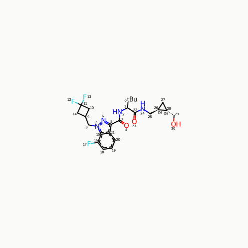 CC(C)(C)C(NC(=O)c1nn(CC2CC(F)(F)C2)c2c(F)cccc12)C(=O)NC[C@H]1C[C@@H]1CO